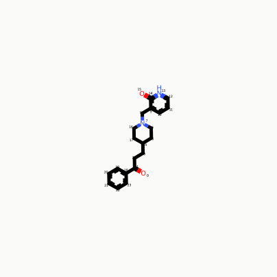 O=C(CCC1CCN(Cc2ccc[nH]c2=O)CC1)c1ccccc1